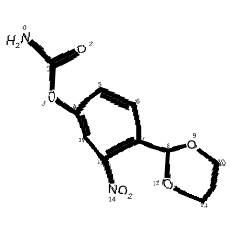 NC(=O)Oc1ccc(C2OCCO2)c([N+](=O)[O-])c1